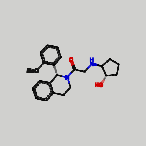 COc1ccccc1[C@H]1c2ccccc2CCN1C(=O)CN[C@H]1CCC[C@@H]1O